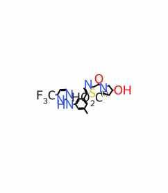 Cc1cc(Nc2nccc(C(F)(F)F)n2)cc(-c2cnc(C(=O)N3CC(O)C[C@H]3C(=O)O)s2)c1